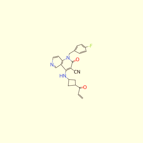 C=CC(=O)C1CC(Nc2c(C#N)c(=O)n(Cc3ccc(F)cc3)c3ccncc23)C1